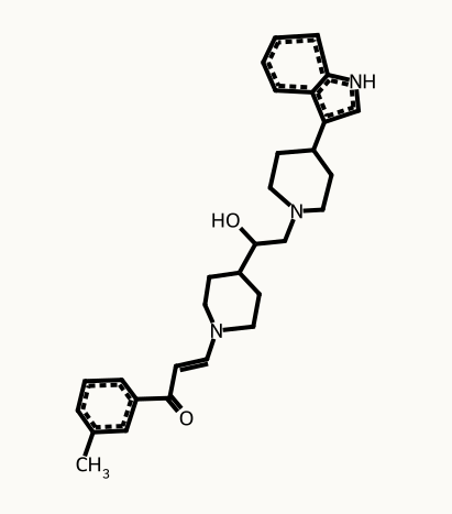 Cc1cccc(C(=O)C=CN2CCC(C(O)CN3CCC(c4c[nH]c5ccccc45)CC3)CC2)c1